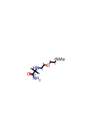 CNCCOCCNC(C)(C)C(N)=O